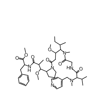 CCC(C)C(C(CC(=O)N1CCCC1C(OC)C(C)C(=O)NC(Cc1ccccc1)C(=O)OC)OC)N(C)C(=O)CNC(=O)C(C(C)C)N(C)Cc1ccncc1